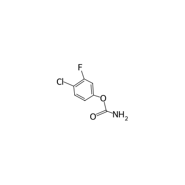 NC(=O)Oc1ccc(Cl)c(F)c1